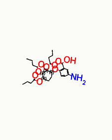 CCCC(=O)O[C@@H]1[C@@H](OC(=O)CCC)[C@H](Oc2ccc(N)cc2C(=O)O)CC[C@H]1OC(=O)CCC